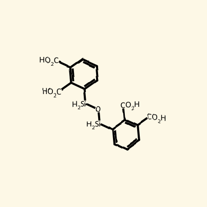 O=C(O)c1cccc([SiH2]O[SiH2]c2cccc(C(=O)O)c2C(=O)O)c1C(=O)O